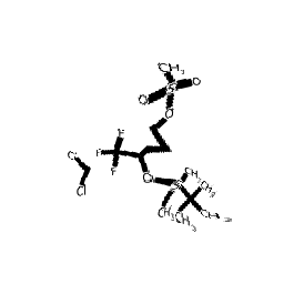 CC(C)(C)[Si](C)(C)OC(CCOS(C)(=O)=O)C(F)(F)F.ClCCl